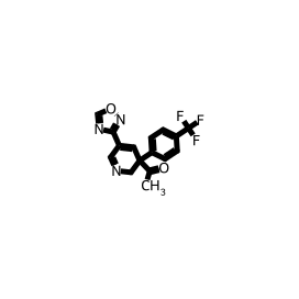 CC(=O)C1(c2ccc(C(F)(F)F)cc2)C=C(c2ncon2)C=NC1